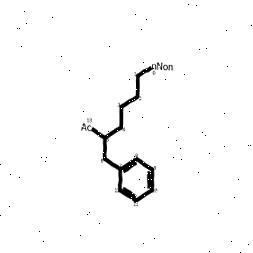 CCCCCCCCCCCCCC(Cc1ccccc1)C(C)=O